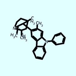 Cc1cc2c(cc1C1[C@@H](C)N3CCC1(C)CC3C)c1ccccc1n2-c1ccccc1